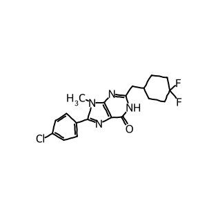 Cn1c(-c2ccc(Cl)cc2)nc2c(=O)[nH]c(CC3CCC(F)(F)CC3)nc21